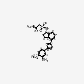 CNC(=O)CS(=O)(=O)N[C@H]1CCc2c(-c3noc(-c4ccc(OC(C)C)c(N)c4)n3)cccc21